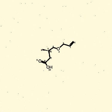 C=CCOC[C@H](C)CC(=O)O